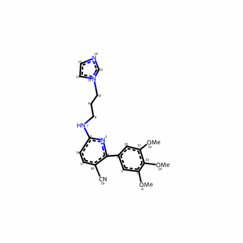 COc1cc(-c2nc(NCCCn3ccnc3)ccc2C#N)cc(OC)c1OC